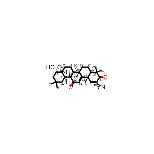 CC1(C)CC[C@]2(C(=O)O)CC[C@]3(C)[C@H](C(=O)C=C4[C@@]5(C)C=C(C#N)C(=O)C(C)(C)C5CC[C@]43C)[C@H]2C1